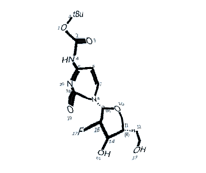 CC(C)(C)OC(=O)Nc1ccn([C@@H]2O[C@H](CO)C(O)C2F)c(=O)n1